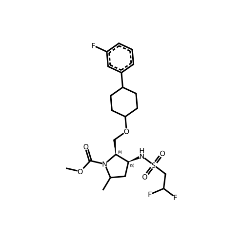 COC(=O)N1C(C)C[C@H](NS(=O)(=O)CC(F)F)[C@@H]1COC1CCC(c2cccc(F)c2)CC1